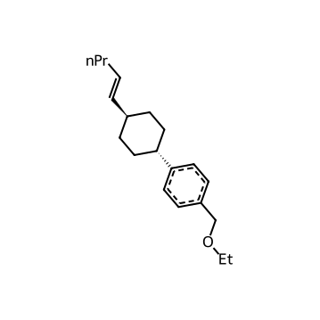 CCC/C=C/[C@H]1CC[C@H](c2ccc(COCC)cc2)CC1